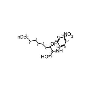 CCCCCCCCCCCCCCCC(O)C(CO)Nc1ccc([N+](=O)[O-])cc1